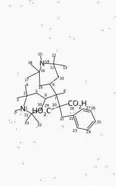 CN1C(C)(C)CC(C(C)(C2CC(C)(C)N(C)C(C)(C)C2)C(Cc2ccccc2)(C(=O)O)C(=O)O)CC1(C)C